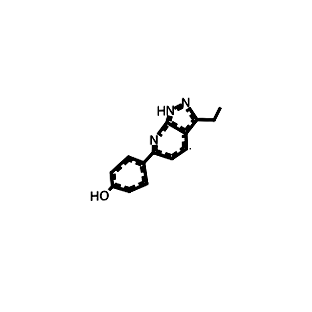 CCc1n[nH]c2nc(-c3ccc(O)cc3)c[c]c12